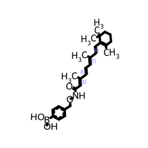 CC1=C(/C=C/C(C)=C/C=C/C(C)=C/C(=O)NOCc2ccc(B(O)O)cc2)C(C)(C)CCC1